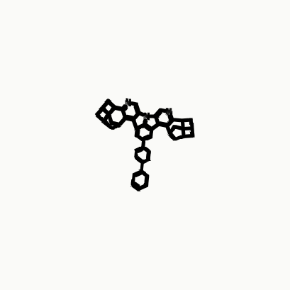 c1ccc(-c2ccc(-c3cc4c5c6c(ncc5n5c7cnc8c(c7c(c3)c45)C3CC4CC5CC8C45C3)C3CC4CC5CC6CC543)cc2)cc1